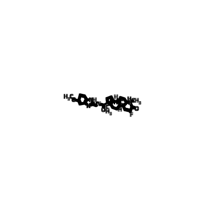 COc1ccc2[nH]c(CNC(=O)[C@H]3CC[C@H]4[C@@H]5CC[C@H]6N(C)C(=O)C(F)=C[C@]6(C)[C@H]5CC[C@]34C)nc2c1